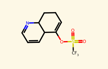 O=S(=O)(OC1=CCCC2N=CC=CC12)C(F)(F)F